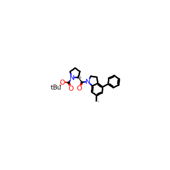 [CH2]c1cc(-c2ccccc2)c2c(c1)N(C(=O)[C@@H]1CCCN1C(=O)OC(C)(C)C)CC2